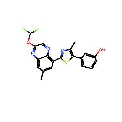 Cc1cc(-c2nc(C)c(-c3cccc(O)c3)s2)c2ncc(OC(F)F)nc2c1